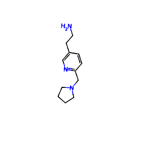 NCCc1ccc(CN2CCCC2)nc1